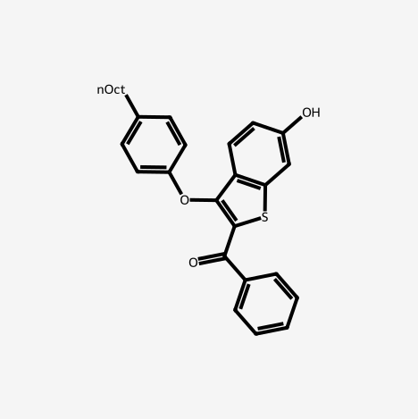 CCCCCCCCc1ccc(Oc2c(C(=O)c3ccccc3)sc3cc(O)ccc23)cc1